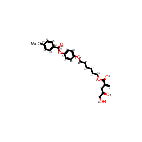 C=C(CC(=O)CO)C(=O)OCCCCCCOc1ccc(OC(=O)c2ccc(OC)cc2)cc1